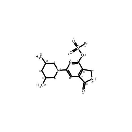 CCS(=O)(=O)Oc1nc(N2CC(C)CC(C)C2)cc2c1CNC2=O